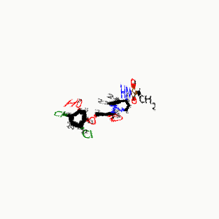 C=CS(=O)(=O)NC1CCN(C(=O)COc2cc(O)c(Cl)cc2Cl)CC1